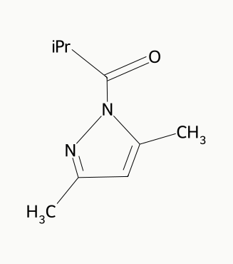 Cc1cc(C)n(C(=O)C(C)C)n1